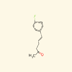 CC(=O)CCC=Cc1ccc(F)cc1